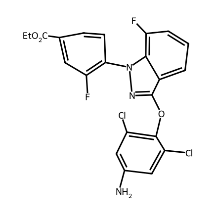 CCOC(=O)c1ccc(-n2nc(Oc3c(Cl)cc(N)cc3Cl)c3cccc(F)c32)c(F)c1